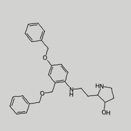 OC1CCNC1CCNc1ccc(OCc2ccccc2)cc1COCc1ccccc1